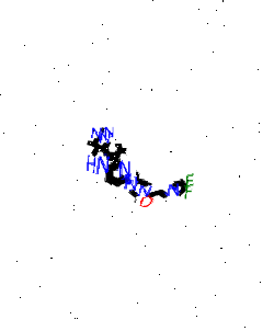 Cc1c(-c2[nH]c3ccc(N4C[C@@H](C)N(C(=O)CCN5CCC(F)(F)C5)C[C@@H]4C)nc3c2C(C)C)cn2ncnc2c1C